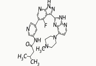 CC(C)CC(=O)Nc1cncc(-c2cnc3[nH]nc(-c4nc5c(N6CCN(C)CC6)ccnc5[nH]4)c3c2F)c1